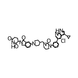 O=C1CCC(N2Cc3ccc(N4CCC(CN5CCCN(c6cccc(-c7cnc8[nH]cc(C9CC9)c8c7Cl)c6)C5=O)CC4)cc3C2=O)C(=O)N1